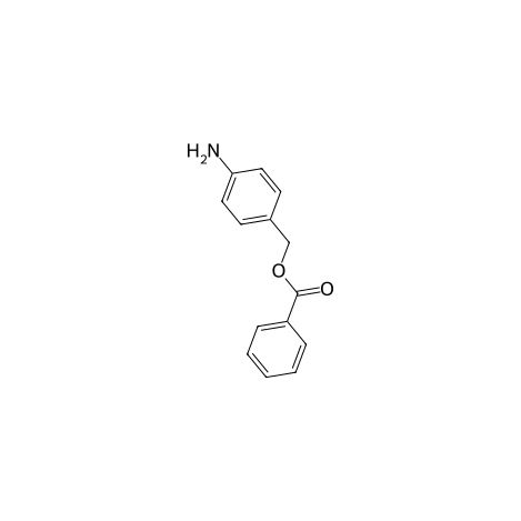 Nc1ccc(COC(=O)c2ccccc2)cc1